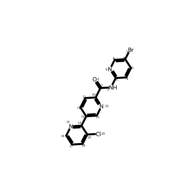 O=C(Nc1ccc(Br)cn1)c1ccc(-c2ncccc2Cl)cn1